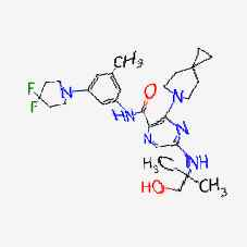 Cc1cc(NC(=O)c2ncc(NC(C)(C)CO)nc2N2CCC3(CC2)CC3)cc(N2CCC(F)(F)CC2)c1